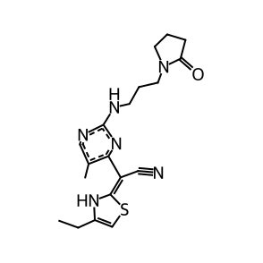 CCC1=CSC(=C(C#N)c2nc(NCCCN3CCCC3=O)ncc2C)N1